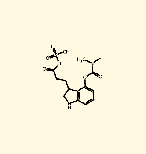 CCN(C)C(=O)Oc1cccc2c1C(CCC(=O)OS(C)(=O)=O)CN2